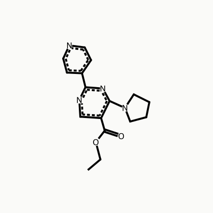 CCOC(=O)c1cnc(-c2ccncc2)nc1N1CCCC1